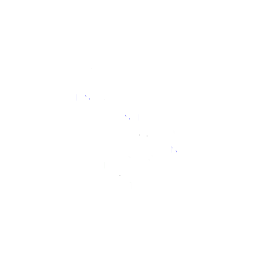 FC(F)(F)c1cc(NCC2CCCCN2)c2cc[nH]c2c1